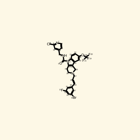 O=C(NCc1ccnc(Cl)c1)n1c2c(c3cc(OC(F)(F)F)ccc31)CN(CC=Cc1cc(F)cc(Br)c1)CC2